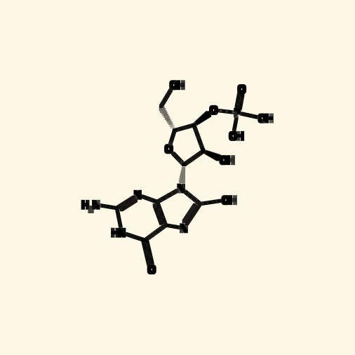 Nc1nc2c(nc(O)n2[C@@H]2O[C@H](CO)[C@@H](OP(=O)(O)O)[C@H]2O)c(=O)[nH]1